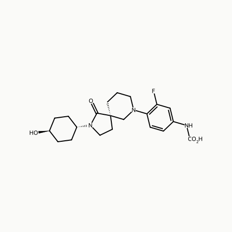 O=C(O)Nc1ccc(N2CCC[C@@]3(CCN([C@H]4CC[C@H](O)CC4)C3=O)C2)c(F)c1